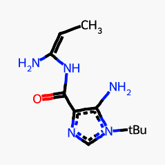 C/C=C(/N)NC(=O)c1ncn(C(C)(C)C)c1N